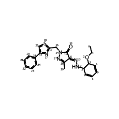 CCOC1C=CC=CC1N/N=C1/C(=O)N(Cc2nc(-c3ccccc3)cs2)N=C1C